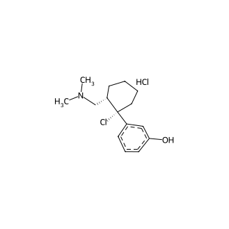 CN(C)C[C@@H]1CCCC[C@@]1(Cl)c1cccc(O)c1.Cl